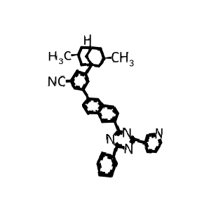 C[C@@H]1C[C@@H]2C[C@H](C)CC(c3cc(C#N)cc(-c4ccc5cc(-c6nc(-c7ccccc7)nc(-c7cccnc7)n6)ccc5c4)c3)(C1)C2